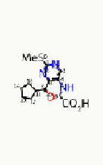 CSc1ncc(NCC(=O)O)c(C(=O)C2CCCC2)n1